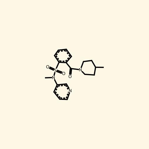 CC1CCN(C(=O)c2ccccc2S(=O)(=O)N(C)c2cccnc2)CC1